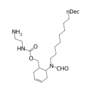 CCCCCCCCCCCCCCCCCCN(C=O)C1CC=CCC1COC(=O)NCCN